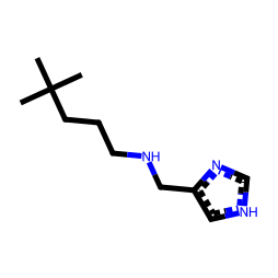 CC(C)(C)CCCNCc1c[nH]cn1